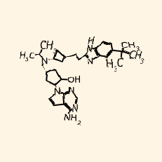 CC(C)N(C[C@@H]1CC(O)[C@H](n2ccc3c(N)ncnc32)C1)[C@H]1C[C@H](CCc2nc3cc(C(C)(C)C)ccc3[nH]2)C1